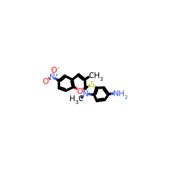 CC1=Cc2cc([N+](=O)[O-])ccc2OC12Sc1cc(N)ccc1N2C